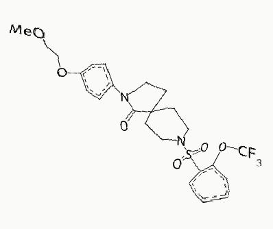 COCCOc1ccc(N2CCC3(CCN(S(=O)(=O)c4ccccc4OC(F)(F)F)CC3)C2=O)cc1